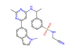 Cc1nc(NC(C)c2cccc(S(=O)(=O)NCC#N)c2)cc(-c2ccc3ccn(C)c3c2)n1